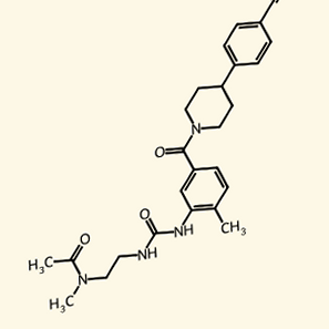 CC(=O)N(C)CCNC(=O)Nc1cc(C(=O)N2CCC(c3ccc(C#N)cc3)CC2)ccc1C